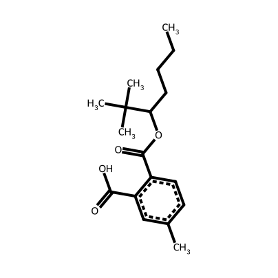 CCCCC(OC(=O)c1ccc(C)cc1C(=O)O)C(C)(C)C